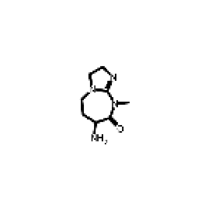 CN1C(=O)C(N)CCN2CCN=C21